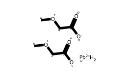 COCC(=O)[O-].COCC(=O)[O-].[PbH2+2]